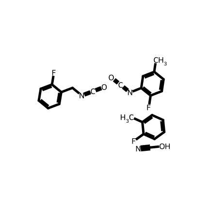 Cc1ccc(F)c(N=C=O)c1.Cc1ccccc1F.N#CO.O=C=NCc1ccccc1F